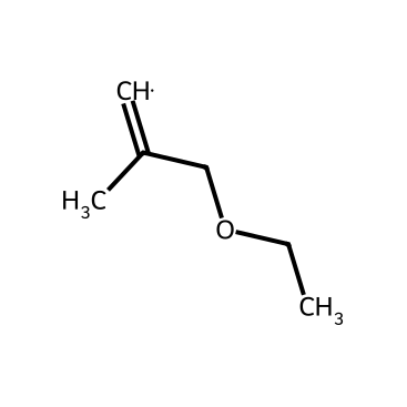 [CH]=C(C)COCC